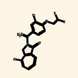 CC(c1ccc(OCC(F)F)c(Cl)c1)N1CC2=C(C=C=CC=C2Cl)C1=O